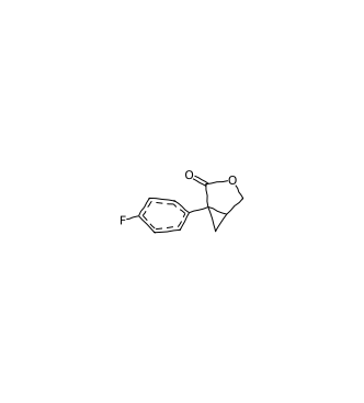 O=C1OCC2CC12c1ccc(F)cc1